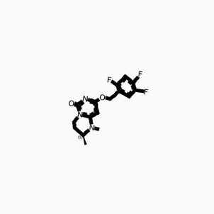 C[C@H]1CCn2c(cc(OCc3cc(F)c(F)cc3F)nc2=O)N1C